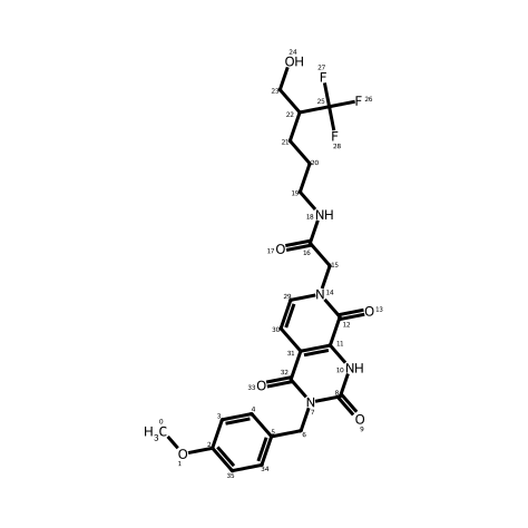 COc1ccc(Cn2c(=O)[nH]c3c(=O)n(CC(=O)NCCCC(CO)C(F)(F)F)ccc3c2=O)cc1